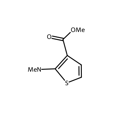 CNc1sccc1C(=O)OC